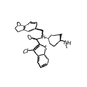 CNC1CCC(N(Cc2ccc3c(c2)CCO3)C(=O)c2sc3ccccc3c2Cl)CC1